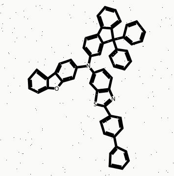 c1ccc(-c2ccc(-c3nc4ccc(N(c5ccc6c(c5)C(c5ccccc5)(c5ccccc5)c5ccccc5-6)c5ccc6c(c5)oc5ccccc56)cc4s3)cc2)cc1